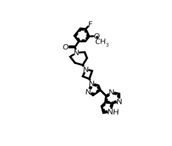 COc1cc(C(=O)N2CCC(N3CC(n4cc(-c5ncnc6[nH]ccc56)cn4)C3)CC2)ccc1F